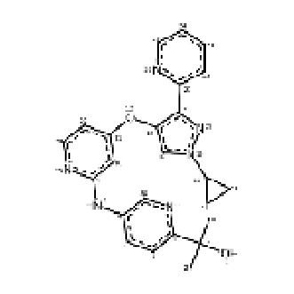 CC(C)(O)c1ccc(Nc2cc(Oc3cn(C4CC4)nc3-c3ccccn3)ccn2)cn1